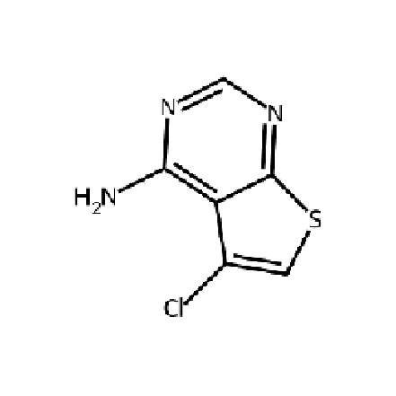 Nc1ncnc2scc(Cl)c12